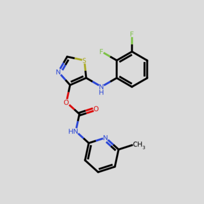 Cc1cccc(NC(=O)Oc2ncsc2Nc2cccc(F)c2F)n1